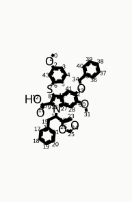 COc1cccc(Sc2c(C(=O)O)n(C(Cc3ccccc3)C3=COCO3)c3cc(OC)c(OCc4ccccc4)cc23)c1